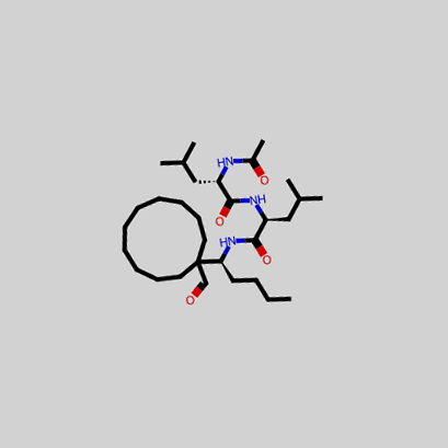 CCCC[C@H](NC(=O)[C@H](CC(C)C)NC(=O)[C@H](CC(C)C)NC(C)=O)C1(C=O)CCCCCCCCCC1